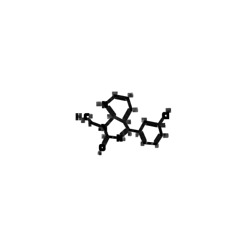 CCn1c(=O)nc(-c2cccc(Cl)c2)c2cccnc21